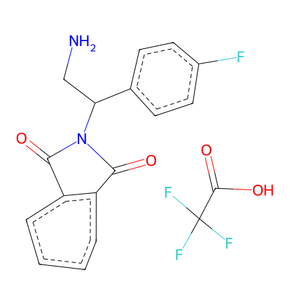 NCC(c1ccc(F)cc1)N1C(=O)c2ccccc2C1=O.O=C(O)C(F)(F)F